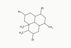 CCC1CC2C(C)CC(C(C)C)C3CC(C(C)=O)CC(C)(C1C)C23